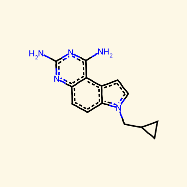 Nc1nc(N)c2c(ccc3c2ccn3CC2CC2)n1